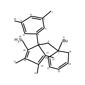 CCC(C)C1(CC2(c3cc(C)cc(C)c3)C(C)=C(C)C(C)=C2[SiH3])C=CC=CC1